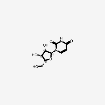 O=c1ccn([C@H]2O[C@H](CO)[C@@H](O)[C@@H]2O)c(=O)[nH]1